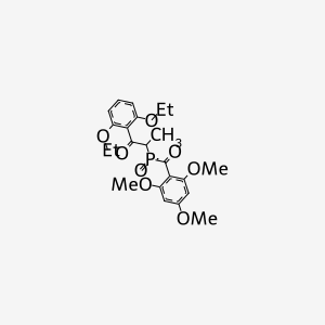 CCOc1cccc(OCC)c1C(=O)C(C)[P](=O)C(=O)c1c(OC)cc(OC)cc1OC